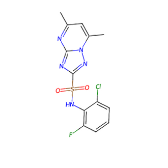 Cc1cc(C)n2nc(S(=O)(=O)Nc3c(F)cccc3Cl)nc2n1